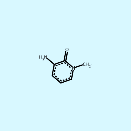 [CH2]n1cccc(N)c1=O